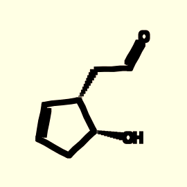 O=CC[C@H]1C=CC[C@H]1O